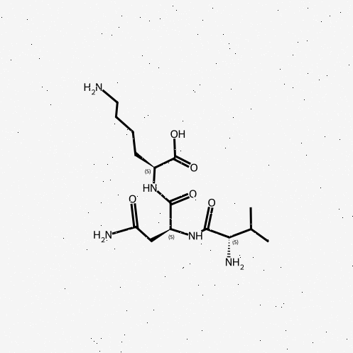 CC(C)[C@H](N)C(=O)N[C@@H](CC(N)=O)C(=O)N[C@@H](CCCCN)C(=O)O